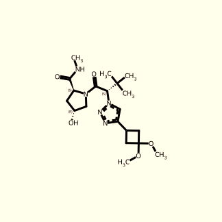 CNC(=O)[C@@H]1C[C@@H](O)CN1C(=O)[C@@H](n1cc(C2CC(OC)(OC)C2)nn1)C(C)(C)C